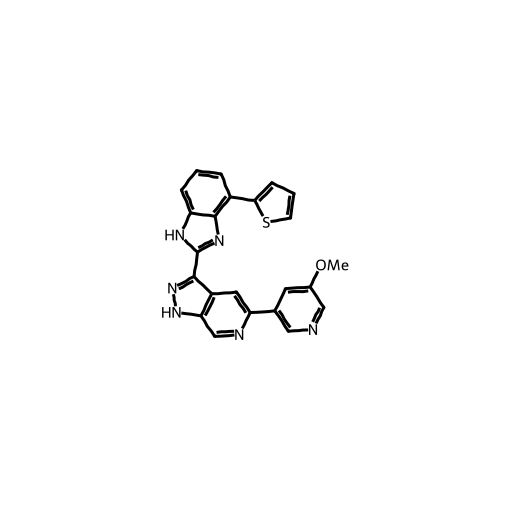 COc1cncc(-c2cc3c(-c4nc5c(-c6cccs6)cccc5[nH]4)n[nH]c3cn2)c1